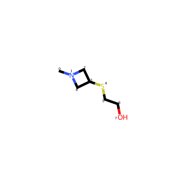 CN1CC(SCCO)C1